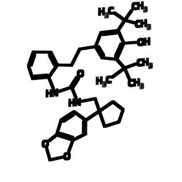 CC(C)(C)c1cc(CCc2ccccc2NC(=O)NCC2(c3ccc4c(c3)OCO4)CCCC2)cc(C(C)(C)C)c1O